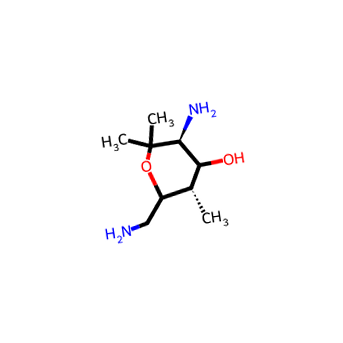 C[C@@H]1C(CN)OC(C)(C)[C@@H](N)C1O